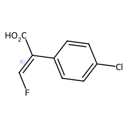 O=C(O)/C(=C/F)c1ccc(Cl)cc1